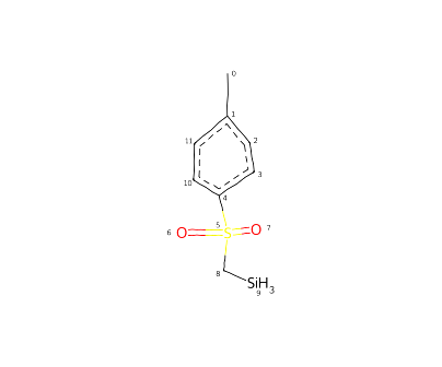 Cc1ccc(S(=O)(=O)C[SiH3])cc1